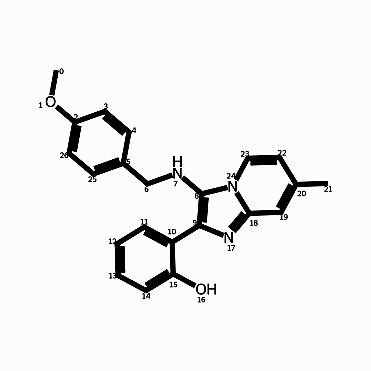 COc1ccc(CNc2c(-c3ccccc3O)nc3cc(C)ccn23)cc1